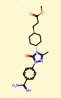 COC(=O)CC[C@H]1CC[C@H](n2c(C)nn(-c3ccc(C(=N)N)cc3)c2=O)CC1